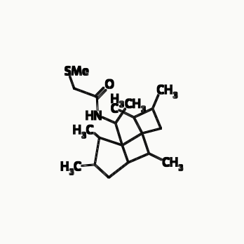 CSCC(=O)NC(C)C12C(C)C(C)CC1C(C)C21CC(C)C1C